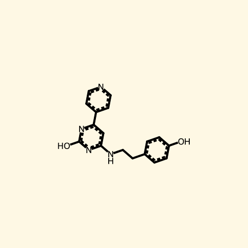 Oc1ccc(CCNc2cc(-c3ccncc3)nc(O)n2)cc1